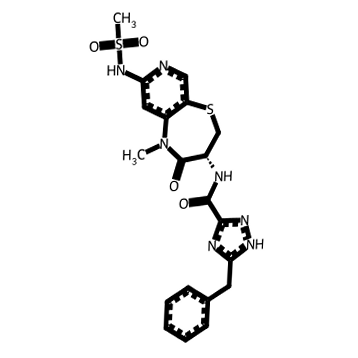 CN1C(=O)[C@@H](NC(=O)c2n[nH]c(Cc3ccccc3)n2)CSc2cnc(NS(C)(=O)=O)cc21